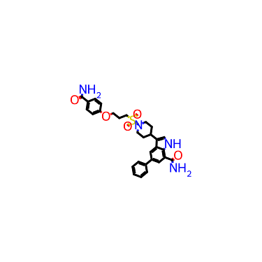 NC(=O)c1ccc(OCCCS(=O)(=O)N2CCC(c3c[nH]c4c(C(N)=O)cc(-c5ccccc5)cc34)CC2)cc1